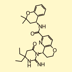 CCC1(CC)CC(=O)N([C@@H]2CCOc3ccc(C(=O)N[C@H]4CC(C)(C)Oc5ccccc54)nc32)C(=N)N1